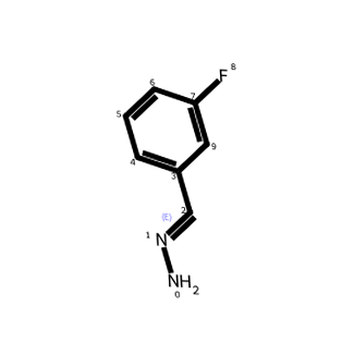 N/N=C/c1cccc(F)c1